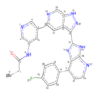 CC(C)(C)CC(=O)Nc1cncc(-c2cc3c(-c4nc5c(-c6ccc(F)cc6)ccnc5[nH]4)n[nH]c3cn2)c1